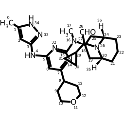 Cc1cc(Nc2cc(C3CCOCC3)nc(N(C)[C@@H]3C[C@H]4CCC[C@@H](C3)N4C(C=O)C3CC3)n2)n[nH]1